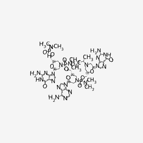 CC(C)N1C[C@@H](COP(=O)(N(C)C)N2C[C@@H](COP(=O)(N(C)C)N3C[C@@H](CO[PH](=O)N(C)C)O[C@@H](n4cnc5c(=O)[nH]c(N)nc54)C3)O[C@@H](n3cnc4c(N)ncnc43)C2)O[C@@H](n2cnc3c(=O)[nH]c(N)nc32)C1